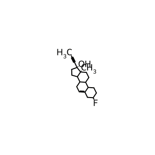 CC#C[C@]1(O)CCC2C3CC=C4CC(F)CCC4C3CC[C@@]21C